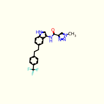 Cn1cc(C(=O)Nc2c[nH]c3ccc(CCc4ccc(C(F)(F)F)cc4)cc23)nn1